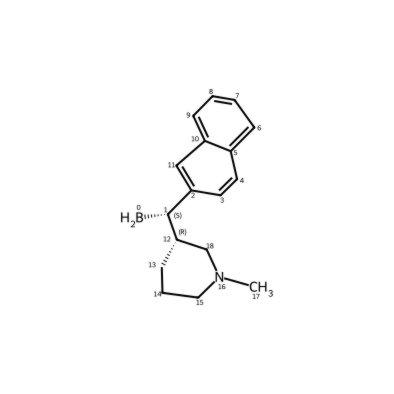 B[C@H](c1ccc2ccccc2c1)[C@H]1CCCN(C)C1